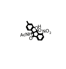 CC(=O)NC12C(=O)c3cccc([N+](=O)[O-])c3C1(O)Oc1cc(C)ccc12